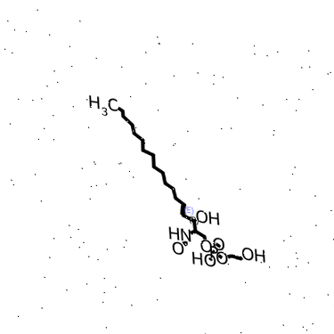 CCCCCCCCCCCCC/C=C/[C@@H](O)C(COP(=O)(O)OCCO)NC=O